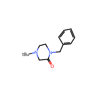 CC(C)(C)N1CCN(Cc2ccccc2)C(=O)C1